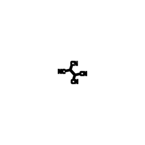 N#CC(C#N)C(C#N)C#N